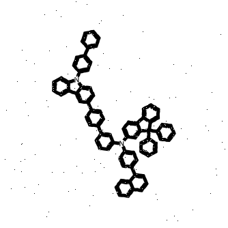 c1ccc(-c2ccc(-n3c4ccccc4c4cc(-c5ccc(-c6cccc(N(c7ccc(-c8cccc9ccccc89)cc7)c7ccc8c(c7)C(c7ccccc7)(c7ccccc7)c7ccccc7-8)c6)cc5)ccc43)cc2)cc1